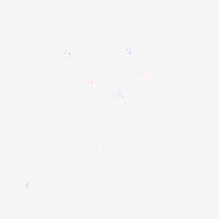 COc1ccnc(C(=O)NC2CC3CC2[C@@H](COCc2cccc(C(F)(F)F)c2)C3)c1O